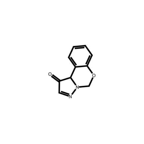 O=C1C=NN2COc3ccccc3C12